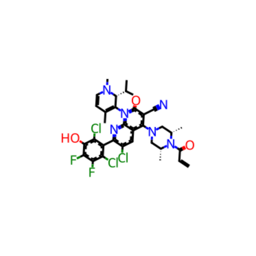 C=CC(=O)N1[C@H](C)CN(c2c(C#N)c(=O)n(C3=C(C)C=CN(C)[C@@H]3C(C)C)c3nc(-c4c(Cl)c(O)c(F)c(F)c4Cl)c(Cl)cc23)C[C@@H]1C